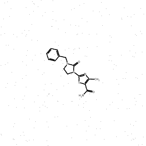 Cc1nc(N2CCN(Cc3ccccc3)C2=O)sc1C(N)=O